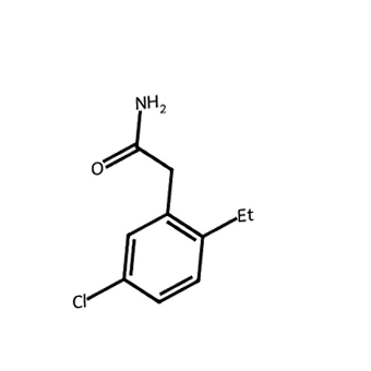 CCc1ccc(Cl)cc1CC(N)=O